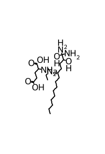 CCCCCCCCCCCCC(O)C(N)(N)O.C[CH2][Na].NC(CCC(=O)O)C(=O)O